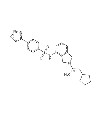 C[C@@H](CC1CCCC1)N1Cc2cccc(NS(=O)(=O)c3ccc(-c4csnn4)cc3)c2C1